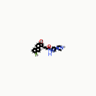 CN1CCN(c2ccc(NC(=O)CCC[C@@H]3CC(=O)[C@@]4(C)CCC5c6cccc(F)c6CCC5C34)nc2)CC1